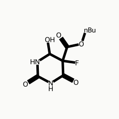 CCCCOC(=O)C1(F)C(=O)NC(=O)NC1O